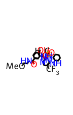 COCCNC(=O)c1ccc(O)c(Nc2ncc(C(F)(F)F)c(N[C@@H]3CCCC[C@H]3NS(C)(=O)=O)n2)c1